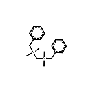 C[N+](C)(Cc1ccccc1)C[N+](C)(C)Cc1ccccc1